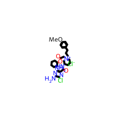 COc1ccc(CCC[N+]2(CC(=O)OC3CCCCC3)CCCC(NC(=O)c3nc(Cl)c(N)nc3N)C2)cc1.[Cl-]